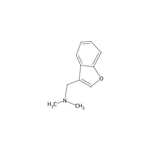 CN(C)Cc1[c]oc2ccccc12